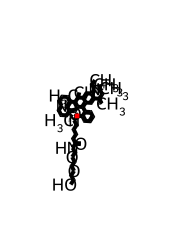 CC[N+]1=c2cc3c(cc2C(C)CC1(C)C)=C(c1ccccc1C(=O)N(C)CCCCC(=O)NCOCCOCCO)c1cc2c4c(c1C3(C)C)CCCN4CCC2